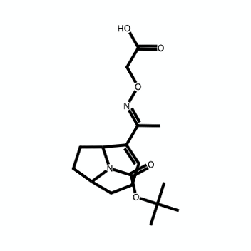 CC(=NOCC(=O)O)C1=CCCC2CCC1N2C(=O)OC(C)(C)C